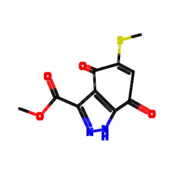 COC(=O)c1n[nH]c2c1C(=O)C(SC)=CC2=O